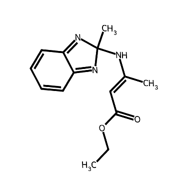 CCOC(=O)C=C(C)NC1(C)N=c2ccccc2=N1